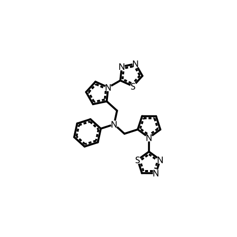 c1ccc(N(Cc2cccn2-c2nncs2)Cc2cccn2-c2nncs2)cc1